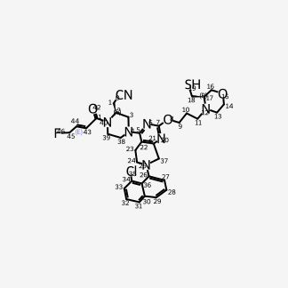 N#CC[C@H]1CN(c2nc(OCCCN3CCOC[C@@H]3CS)nc3c2CCN(c2cccc4cccc(Cl)c24)C3)CCN1C(=O)/C=C/CF